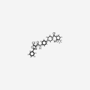 O=C(Nc1ccc(N2CCN(C(=O)C3CCC[C@@H]3C(=O)O)CC2)cc1)c1nc(-c2ccccc2)oc1C(F)(F)F